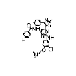 Cc1nc(-c2cccc(NC(=O)c3ccc(F)cc3)c2)c(-c2ccnc(Nc3ccc(OCCN(C)C)c(Cl)c3)n2)s1